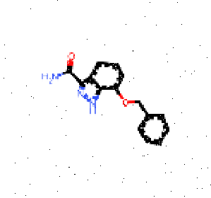 NC(=O)c1n[nH]c2c(OCc3ccccc3)cccc12